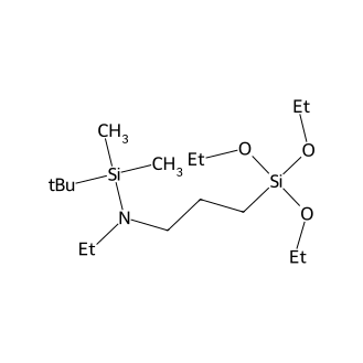 CCO[Si](CCCN(CC)[Si](C)(C)C(C)(C)C)(OCC)OCC